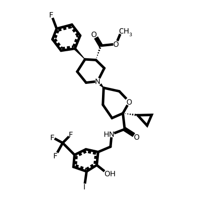 COC(=O)[C@@H]1CN([C@@H]2CC[C@@](C(=O)NCc3cc(C(F)(F)F)cc(I)c3O)(C3CC3)OC2)CC[C@H]1c1ccc(F)cc1